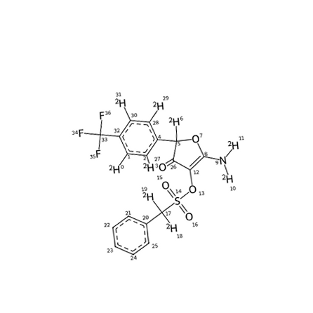 [2H]c1c([2H])c(C2([2H])OC(N([2H])[2H])=C(OS(=O)(=O)C([2H])([2H])c3ccccc3)C2=O)c([2H])c([2H])c1C(F)(F)F